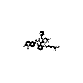 O=C(O)CCCCOc1ccccc1[C@H](NS(=O)(=O)c1ccc2[nH]c(=O)ccc2c1)C(=O)N(CC(=O)O)Cc1cccs1